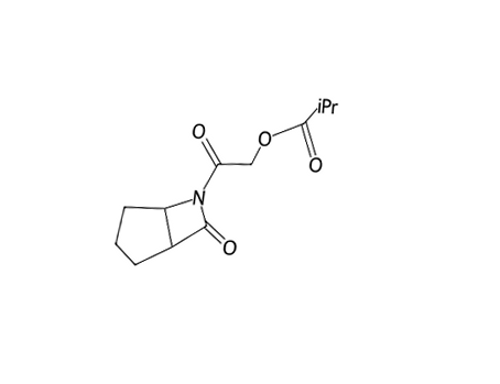 CC(C)C(=O)OCC(=O)N1C(=O)C2CCCC21